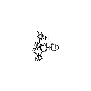 Cc1cc(-c2n[s+]([O-])c3c(-c4ccnn4C)cc(N4CCOC[C@H]4C)nc23)[nH]n1